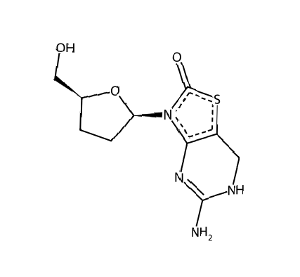 NC1=Nc2c(sc(=O)n2[C@H]2CC[C@@H](CO)O2)CN1